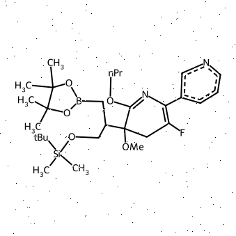 CCCOC1=NC(c2cccnc2)=C(F)CC1(OC)C(CO[Si](C)(C)C(C)(C)C)CB1OC(C)(C)C(C)(C)O1